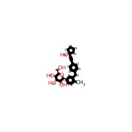 Cc1ccc([C@@H]2O[C@H](CO)[C@@H](O)[C@H](O)C2O)cc1Cc1ccc(C#CC2(O)CCCC2)cc1